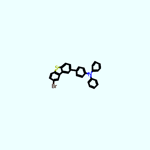 Brc1ccc2sc3ccc(-c4ccc(N(c5ccccc5)c5ccccc5)cc4)cc3c2c1